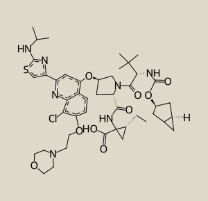 CC[C@@H]1CC1(NC(=O)[C@@H]1C[C@@H](Oc2cc(-c3csc(NC(C)C)n3)nc3c(Cl)c(OCCN4CCOCC4)ccc23)CN1C(=O)[C@@H](NC(=O)O[C@@H]1CC2C[C@@H]2C1)C(C)(C)C)C(=O)O